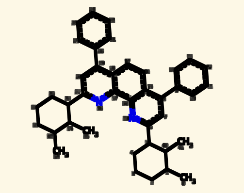 CC1CCCC(c2cc(-c3ccccc3)c3ccc4c(-c5ccccc5)cc(C5CCCC(C)C5C)nc4c3n2)C1C